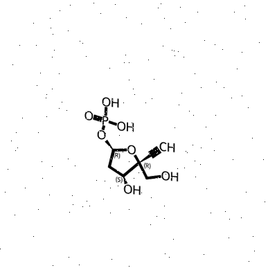 C#C[C@]1(CO)O[C@H](OP(=O)(O)O)C[C@@H]1O